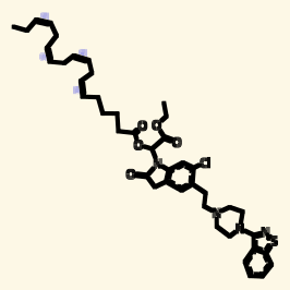 CC/C=C\C/C=C\C/C=C\C/C=C\CCCCC(=O)OC(C(=O)OCC)N1C(=O)Cc2cc(CCN3CCN(c4nsc5ccccc45)CC3)c(Cl)cc21